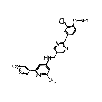 CC(C)Oc1ccc(-c2ncc(CNc3cc(-c4cn[nH]c4)nc(C(F)(F)F)c3)cn2)cc1Cl